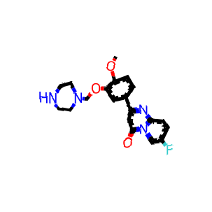 COc1ccc(-c2cc(=O)n3cc(F)ccc3n2)cc1OCN1CCNCC1